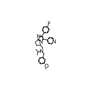 COc1cccc(CN(CC2CCc3nc(-c4ccc(F)cc4)c(-c4ccncc4)n32)C(C)C)c1